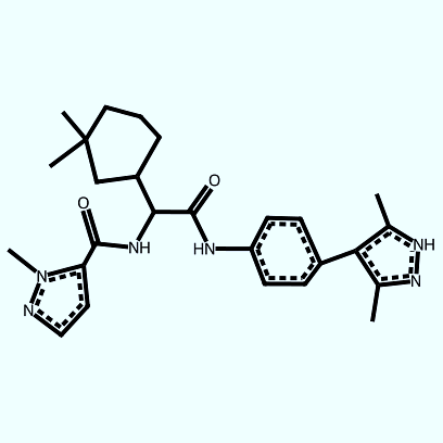 Cc1n[nH]c(C)c1-c1ccc(NC(=O)C(NC(=O)c2ccnn2C)C2CCCC(C)(C)C2)cc1